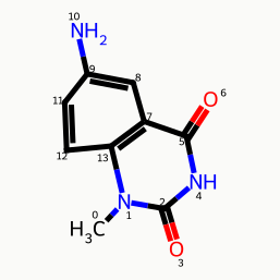 Cn1c(=O)[nH]c(=O)c2cc(N)ccc21